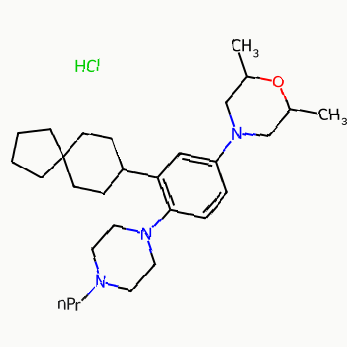 CCCN1CCN(c2ccc(N3CC(C)OC(C)C3)cc2C2CCC3(CCCC3)CC2)CC1.Cl